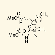 COC(=O)NCCCn1nc([C@@H](C)N(C(=O)[C@H]2CNC[C@@H](C(=O)OC)O2)C2CC2)c2ccc(C)nc21